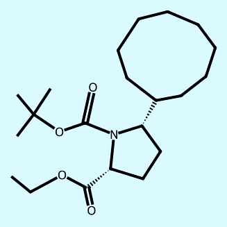 CCOC(=O)[C@H]1CC[C@@H](C2CCCCCCCC2)N1C(=O)OC(C)(C)C